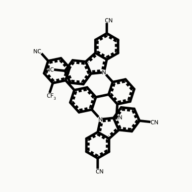 N#Cc1ccc(-c2ccc(-n3c4ccc(C#N)cc4c4cc(C#N)ccc43)c(-c3c(C#N)cccc3-n3c4ccc(C#N)cc4c4cc(C#N)ccc43)c2)c(C(F)(F)F)c1